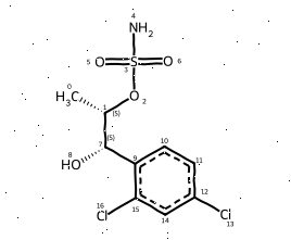 C[C@H](OS(N)(=O)=O)[C@@H](O)c1ccc(Cl)cc1Cl